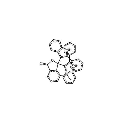 CN(C)c1cccc2c1C(c1c(-c3ccccc3)[nH]c3ccccc13)(c1c(-c3ccccc3)[nH]c3ccccc13)OC2=O